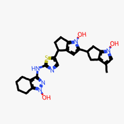 Cc1cn(O)c2c1CC(c1cc3c(n1O)CCC3c1cnc(Nc3nn(O)c4c3CCCC4)s1)C2